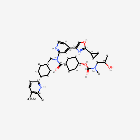 COc1ccc([C@H]2CC[C@H](CN(c3cc(-c4coc(C5CC5)n4)ccn3)C(=O)[C@H]3CC[C@H](OC(=O)N(C)CC(C)O)CC3)CC2)nc1C